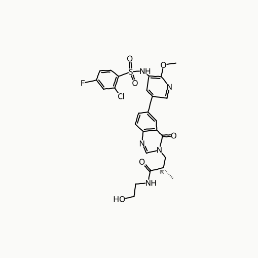 COc1ncc(-c2ccc3ncn(C[C@H](C)C(=O)NCCO)c(=O)c3c2)cc1NS(=O)(=O)c1ccc(F)cc1Cl